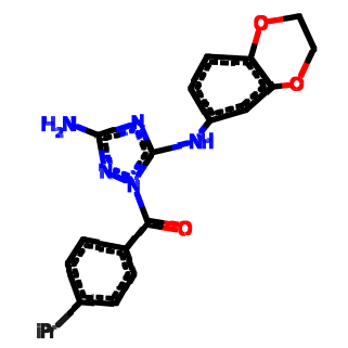 CC(C)c1ccc(C(=O)n2nc(N)nc2Nc2ccc3c(c2)OCCO3)cc1